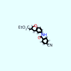 CCOC(=O)CC1COc2ccc(NC(=O)c3ccc(C#N)cc3)cc2C1